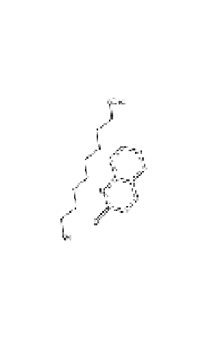 CCCCCCCCCCCCCCCCCCS.O=c1ccc2ccccc2o1